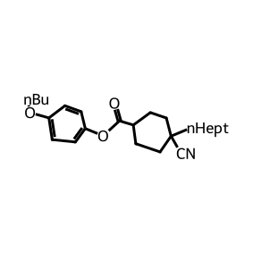 CCCCCCCC1(C#N)CCC(C(=O)Oc2ccc(OCCCC)cc2)CC1